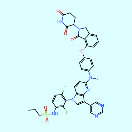 CCCS(=O)(=O)Nc1ccc(F)c(-n2cc(-c3cncnc3)c3nc(N(C)c4ccc(Bc5cccc6c5C(=O)N(C5CCC(=O)NC5=O)C6)cc4)ccc32)c1F